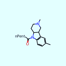 CCCCCC(=O)N1c2ccc(C)cc2C2CN(C)CCC21